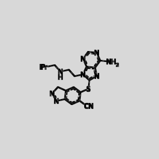 CC(C)CNCCn1c(Sc2cc3c(cc2C#N)N=NC3)nc2c(N)ncnc21